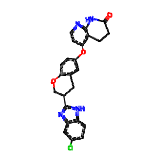 O=C1CCc2c(Oc3ccc4c(c3)CC(c3nc5cc(Cl)ccc5[nH]3)CO4)ccnc2N1